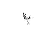 Cc1cn2nc([C@@H]3CCCCN3C(=O)c3cc(Br)ccc3NS(C)(=O)=O)cc2nc1Cl